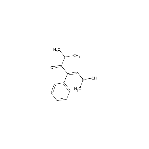 CC(C)C(=O)C(=CN(C)C)c1ccccc1